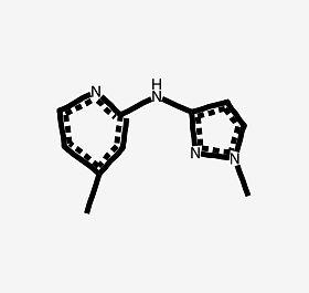 Cc1ccnc(Nc2ccn(C)n2)c1